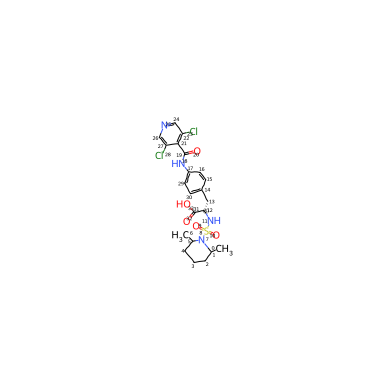 CC1CCCC(C)N1S(=O)(=O)N[C@@H](Cc1ccc(NC(=O)c2c(Cl)cncc2Cl)cc1)C(=O)O